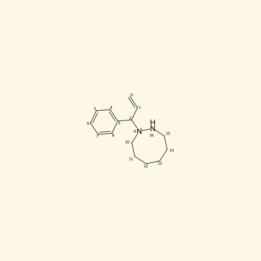 C=CC(c1ccccc1)N1CCCCCCN1